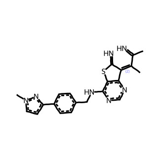 CC(=N)/C(C)=C1\C(=N)Sc2c(NCc3ccc(-c4ccn(C)n4)cc3)ncnc21